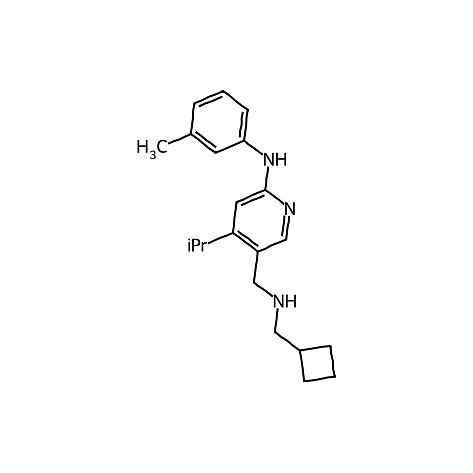 Cc1cccc(Nc2cc(C(C)C)c(CNCC3CCC3)cn2)c1